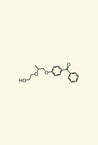 CC(COc1ccc(C(=O)c2ccccc2)cc1)OCCO